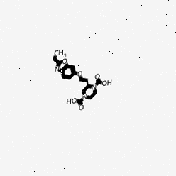 CCc1nc2ccc(OCC[C@@H]3CN(C(=O)O)CCN3C(=O)O)cc2o1